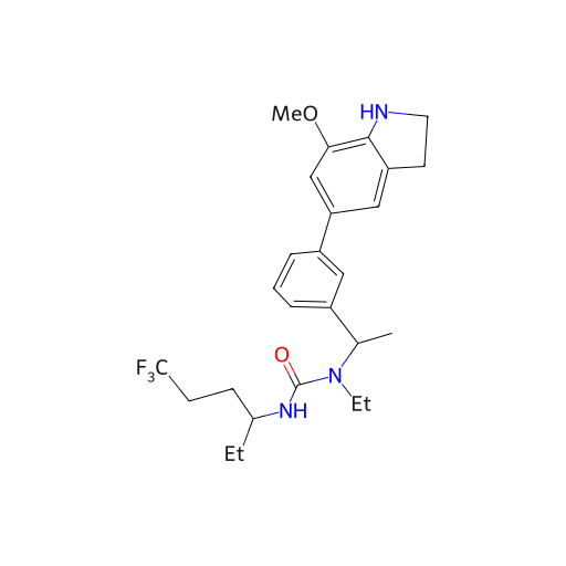 CCC(CCC(F)(F)F)NC(=O)N(CC)C(C)c1cccc(-c2cc3c(c(OC)c2)NCC3)c1